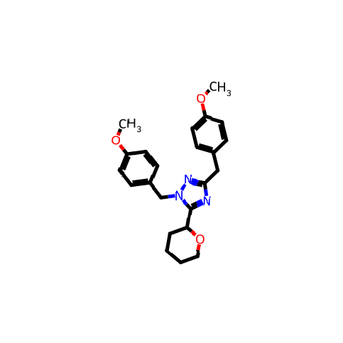 COc1ccc(Cc2nc(C3CCCCO3)n(Cc3ccc(OC)cc3)n2)cc1